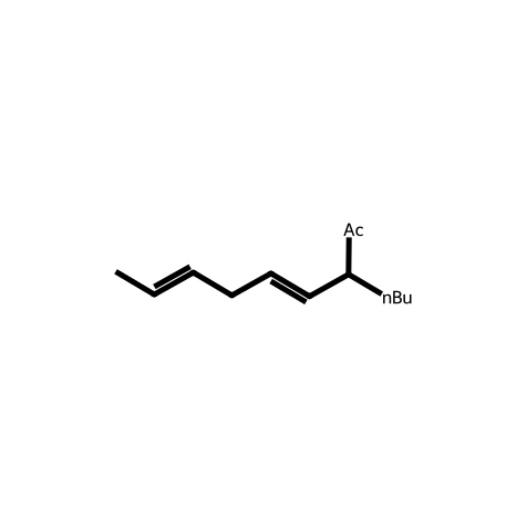 CC=CCC=CC(CCCC)C(C)=O